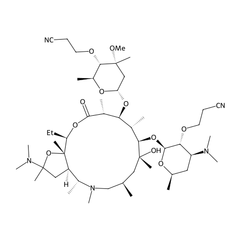 CC[C@H]1OC(=O)[C@H](C)[C@@H](O[C@H]2C[C@@](C)(OC)[C@@H](OCCC#N)[C@H](C)O2)[C@H](C)[C@@H](O[C@@H]2O[C@H](C)C[C@H](N(C)C)[C@H]2OCCC#N)[C@](C)(O)C[C@@H](C)CN(C)[C@H](C)[C@H]2CC(C)(N(C)C)O[C@@]21C